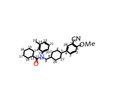 COc1ccc(C2CCC(CN(C(=O)C3CCCCC3)c3cccc(C)c3)CC2)cc1C#N